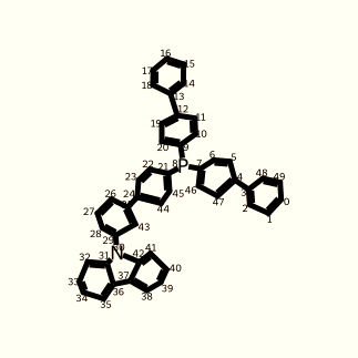 c1ccc(-c2ccc(P(c3ccc(-c4ccccc4)cc3)c3ccc(-c4cccc(-n5c6ccccc6c6ccccc65)c4)cc3)cc2)cc1